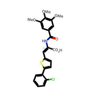 COc1cc(C(=O)N/C(=C/c2ccc(-c3ccccc3Cl)s2)C(=O)O)cc(OC)c1OC